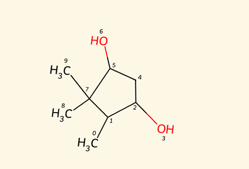 CC1C(O)CC(O)C1(C)C